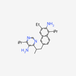 CCc1cc2cc(CC(C)c3ncnc(C(C)C)c3N)ccc2c(C(C)C)c1N